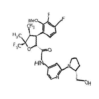 COc1c([C@H]2[C@H](C(=O)Nc3ccnc(N4CCC[C@@H]4CO)c3)O[C@@](C)(C(F)(F)F)[C@H]2C)ccc(F)c1F